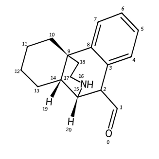 O=CC1c2ccccc2[C@@]23CCCC[C@H]2[C@@H]1NCC3